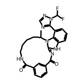 CC1CCCCNC(=O)c2cccc(c2)C(=O)/N=C2\Nc3cccc(-c4ncnn4C(F)F)c3N21